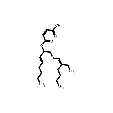 CCCCC=CC(COC=C(CC)CCCC)OC(=O)/C=C\C(=O)O